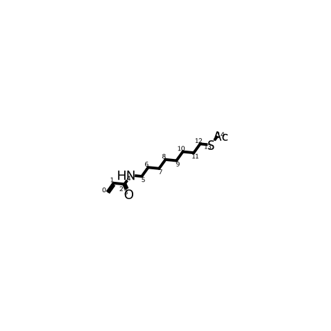 C=CC(=O)NCCCCCCCCSC(C)=O